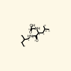 CCC(C)CNC(=O)C(CC(C)C)NC(=O)O